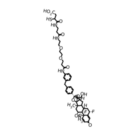 C[C@]12C=CC(=O)C=C1[C@@H](F)C[C@H]1C3C[C@H]4O[C@@H](c5ccc(Cc6cccc(NC(=O)CCOCCOCCNC(=O)CCNC(=O)C(S)CC(=O)O)c6)cc5)O[C@@]4(C(=O)CO)[C@@]3(C)C[C@H](O)[C@@]12F